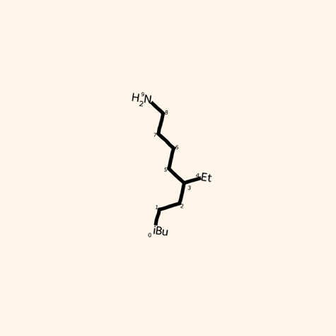 CCC(C)CCC(CC)CCCCN